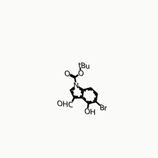 CC(C)(C)OC(=O)n1cc(C=O)c2c(O)c(Br)ccc21